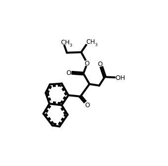 CCC(C)OC(=O)C(CC(=O)O)C(=O)c1cccc2ccccc12